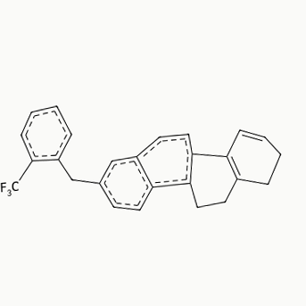 FC(F)(F)c1ccccc1Cc1ccc2c3c(ccc2c1)C1=C(CCC=C1)CC3